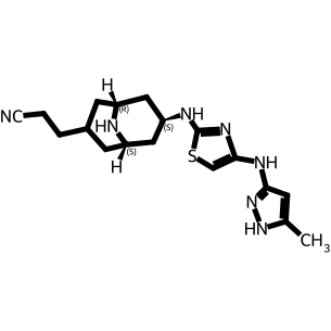 Cc1cc(Nc2csc(N[C@@H]3C[C@H]4CC(CCC#N)C[C@@H](C3)N4)n2)n[nH]1